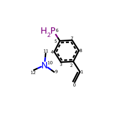 C=Cc1ccc(P)cc1.CN(C)C